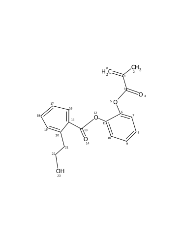 C=C(C)C(=O)Oc1ccccc1OC(=O)c1ccccc1CCO